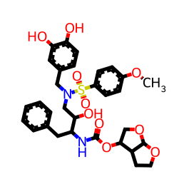 COc1ccc(S(=O)(=O)N(Cc2ccc(O)c(O)c2)CC(O)C(Cc2ccccc2)NC(=O)OC2COC3OCCC23)cc1